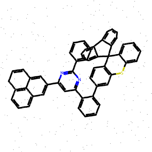 C1=Cc2cc(-c3cc(-c4ccccc4-c4ccc5c(c4)Sc4ccccc4C54c5ccccc5-c5ccccc54)nc(-c4ccccc4)n3)cc3cccc(c23)C1